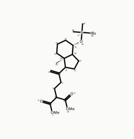 C=C(CCC(C(=O)OC)C(=O)OC)C1CCC2[C@@H](O[Si](C)(C)C(C)(C)C)CCC[C@]12C